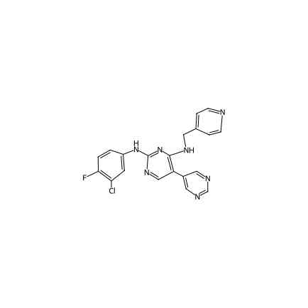 Fc1ccc(Nc2ncc(-c3cncnc3)c(NCc3ccncc3)n2)cc1Cl